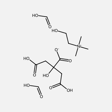 C[N+](C)(C)CCO.O=C(O)CC(O)(CC(=O)O)C(=O)[O-].O=CO.O=CO